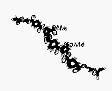 C=CC(=O)OCCOC(=O)C1CCC(C(=O)Oc2ccc(OC(=O)C3CCC(C(=O)Oc4ccc(OC(=O)C5CCC(C(=O)OCCCCOC(C)C=C)CC5)cc4C(=O)OC)CC3)c(C(=O)OC)c2)CC1